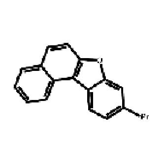 CC(C)c1ccc2c(c1)oc1ccc3ccccc3c12